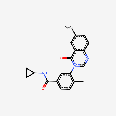 COc1ccc2ncn(-c3cc(C(=O)NC4CC4)ccc3C)c(=O)c2c1